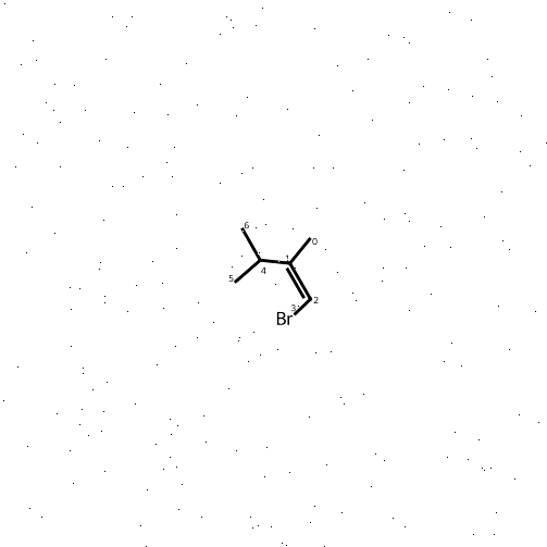 CC(=CBr)C(C)C